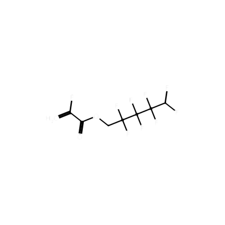 C=C(F)C(=O)OCC(F)(F)C(F)(F)C(F)(F)C(F)F